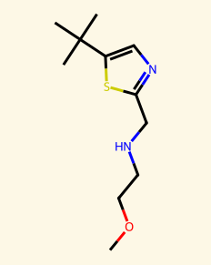 COCCNCc1ncc(C(C)(C)C)s1